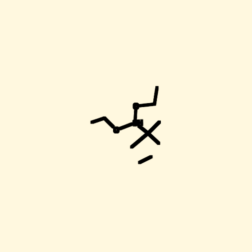 CC.CCO[SiH](OCC)C(C)(C)C